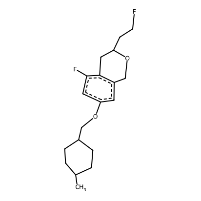 CC1CCC(COc2cc(F)c3c(c2)COC(CCF)C3)CC1